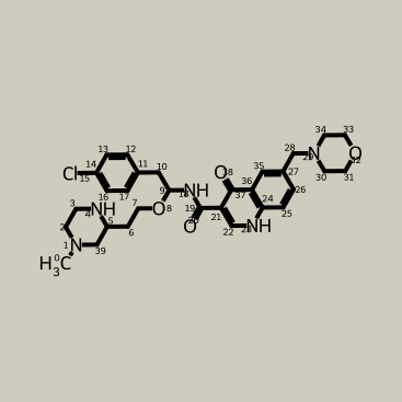 CN1CCNC(CCOC(Cc2ccc(Cl)cc2)NC(=O)c2c[nH]c3ccc(CN4CCOCC4)cc3c2=O)C1